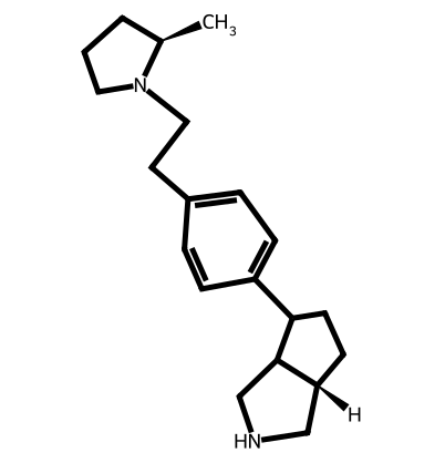 C[C@@H]1CCCN1CCc1ccc(C2CC[C@@H]3CNCC23)cc1